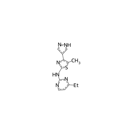 CCc1ccnc(Nc2nc(-c3cn[nH]c3)c(C)s2)n1